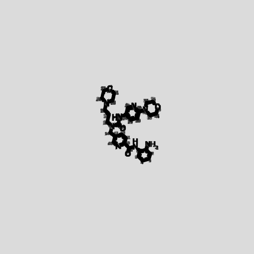 Nc1ccccc1NC(=O)c1ccc(CN(CCCN2CCOCC2)C(=O)Nc2ccc(N3CCOCC3)nc2)cn1